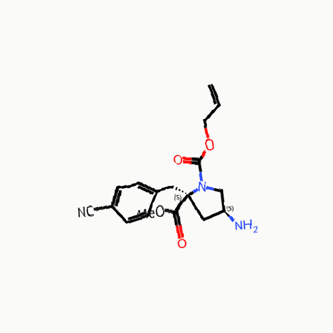 C=CCOC(=O)N1C[C@@H](N)C[C@@]1(Cc1ccc(C#N)cc1)C(=O)OC